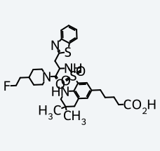 CC1(C)CNc2c(cc(CCCCC(=O)O)cc2S(=O)(=O)NC(Cc2nc3ccccc3s2)C(=O)N2CCC(CCF)CC2)C1